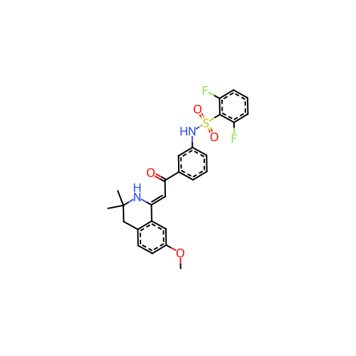 COc1ccc2c(c1)/C(=C/C(=O)c1cccc(NS(=O)(=O)c3c(F)cccc3F)c1)NC(C)(C)C2